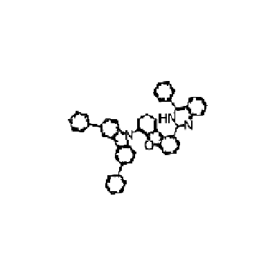 C1=c2c(oc3cccc(C4N=c5ccccc5=C(c5ccccc5)N4)c23)=C(n2c3ccc(-c4ccccc4)cc3c3cc(-c4ccccc4)ccc32)CC1